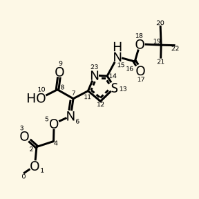 COC(=O)CON=C(C(=O)O)c1csc(NC(=O)OC(C)(C)C)n1